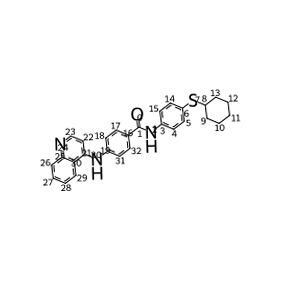 O=C(Nc1ccc(SC2CCCCC2)cc1)c1ccc(Nc2ccnc3ccccc23)cc1